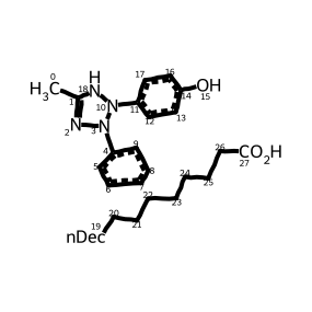 CC1=NN(c2ccccc2)N(c2ccc(O)cc2)N1.CCCCCCCCCCCCCCCCCC(=O)O